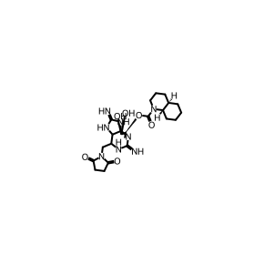 N=C1NC2C(CN3C(=O)CCC3=O)NC(=N)N3C[C@H](OC(=O)N4CCC[C@H]5CCCC[C@@H]54)C(O)(O)C23N1